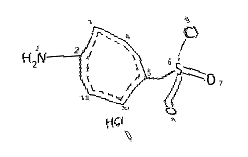 Cl.Nc1ccc(S(=O)(=O)Cl)cc1